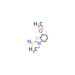 CCOc1cccc2c1SC(S[N])N2CC